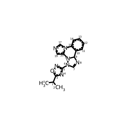 CC(C)c1nc(N2C=NC3c4ccccc4-n4cncc4N32)no1